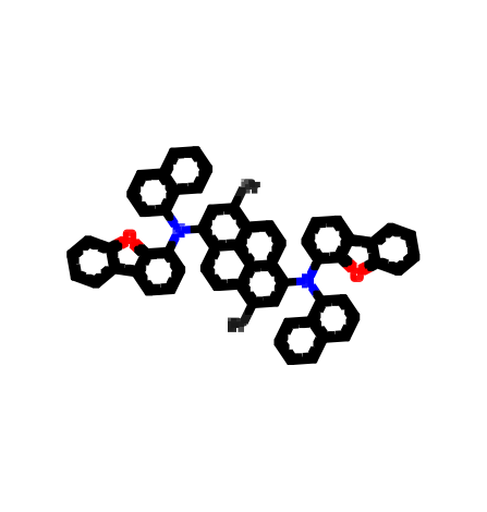 CC(C)c1cc(N(c2cccc3ccccc23)c2cccc3c2oc2ccccc23)c2ccc3c(C(C)C)cc(N(c4cccc5ccccc45)c4cccc5c4oc4ccccc45)c4ccc1c2c34